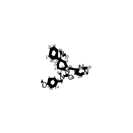 COc1ccc(CN2C[C@]3(CC[C@](c4ccccc4)(N(C)C)CC3)N(Cc3ccncn3)C2=O)cc1